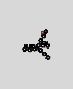 CC1(C)c2cc(-c3ccccc3)ccc2-c2ccc(N(c3ccc(-c4ccc(-c5ccccc5)cc4)cc3)c3ccc4c(c3)C(C)(C)c3cc(-c5ccc6c(c5)oc5ccccc56)ccc3-4)cc21